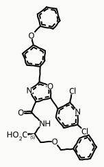 O=C(N[C@@H](COCc1ccccc1)C(=O)O)c1nc(-c2ccc(Oc3ccccc3)cc2)oc1-c1ccc(Cl)nc1Cl